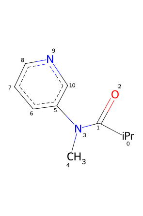 CC(C)C(=O)N(C)c1cccnc1